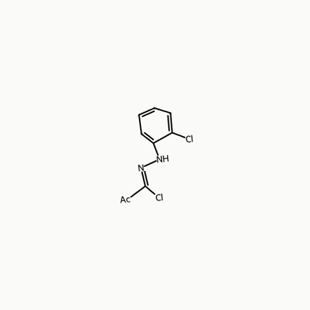 CC(=O)C(Cl)=NNc1ccccc1Cl